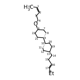 C/C=C\CCO[C@H]1CC[C@H]([C@H]2CC[C@H](CC/C=C/CC)CC2)CC1